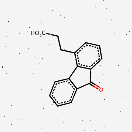 O=C(O)CCc1cccc2c1-c1ccccc1C2=O